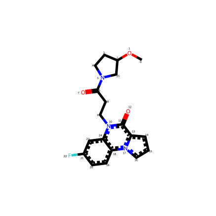 COC1CCN(C(=O)CCn2c(=O)c3cccn3c3ccc(F)cc32)C1